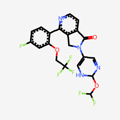 O=C1c2ccnc(-c3ccc(F)cc3OCC(F)(F)F)c2CN1C1=CNC(OC(F)F)N=C1